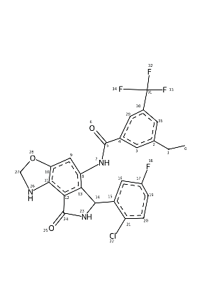 CCc1cc(C(=O)Nc2cc3c(c4c2C(c2cc(F)ccc2Cl)NC4=O)NCO3)cc(C(F)(F)F)c1